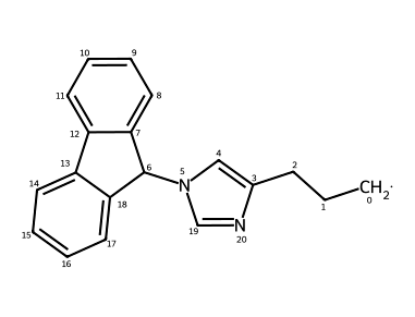 [CH2]CCc1cn(C2c3ccccc3-c3ccccc32)cn1